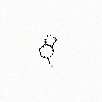 Nc1ccc2[nH]ncc2c1.O